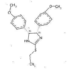 CCSC1=N[C@@H](c2ccc(OC)cc2)[C@@H](c2ccc(OC)cc2)N1